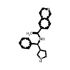 C=C(NC(c1ccccc1)C1CCNC1)c1ccc2cnccc2c1